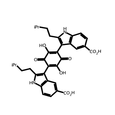 CC(C)CCc1[nH]c2ccc(C(=O)O)cc2c1C1=C(O)C(=O)C(c2c(CCC(C)C)[nH]c3ccc(C(=O)O)cc23)=C(O)C1=O